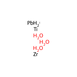 O.O.O.[PbH2].[Ti].[Zr]